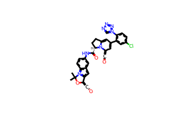 CC1(C)OC(=C=O)c2cc3cc(NC(=O)[C@@H]4CCC5=CC(c6cc(Cl)ccc6-n6cnnn6)=CC(=C=O)N54)ccc3n21